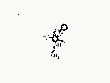 CCCCNc1cc(N)n(CC)c(=NCc2ccccc2)c1C#N